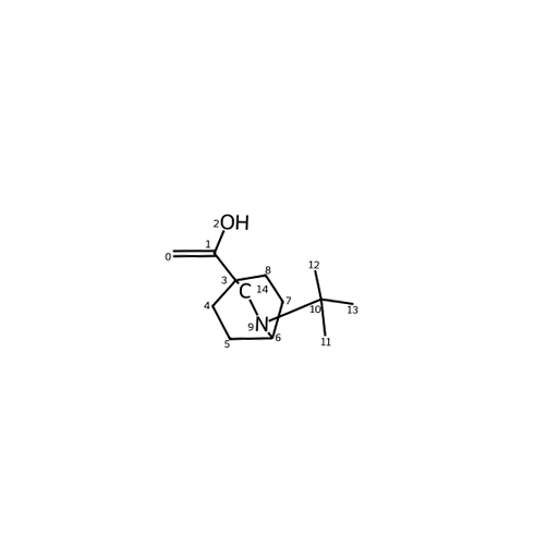 C=C(O)C12CCC(CC1)N(C(C)(C)C)C2